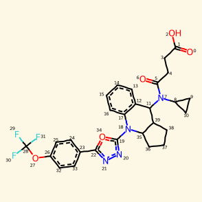 O=C(O)CCC(=O)N(C1CC1)C1c2ccccc2N(c2nnc(-c3ccc(OC(F)(F)F)cc3)o2)C2CCCC21